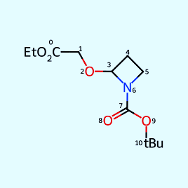 CCOC(=O)COC1CCN1C(=O)OC(C)(C)C